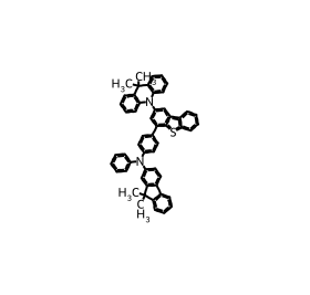 CC1(C)c2ccccc2-c2ccc(N(c3ccccc3)c3ccc(-c4cc(N5c6ccccc6C(C)(C)c6ccccc65)cc5c4sc4ccccc45)cc3)cc21